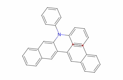 c1ccc(N(c2ccccc2)c2cc3ccccc3cc2-c2ccc3ccccc3c2)cc1